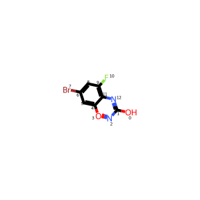 Oc1n[o+]c2cc(Br)cc(F)c2n1